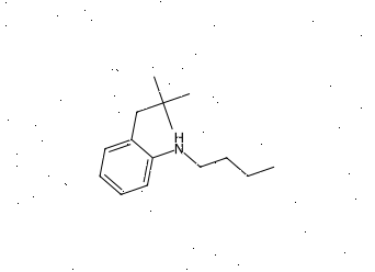 CCCCNc1ccccc1CC(C)(C)C